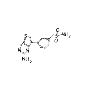 Nc1ncc2scc(-c3cccc(CS(N)(=O)=O)c3)c2n1